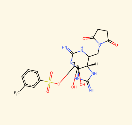 N=C1N[C@H]2C(CN3C(=O)CCC3=O)NC(=N)N3CC(OS(=O)(=O)c4cccc(C(F)(F)F)c4)C(O)(O)[C@]23N1